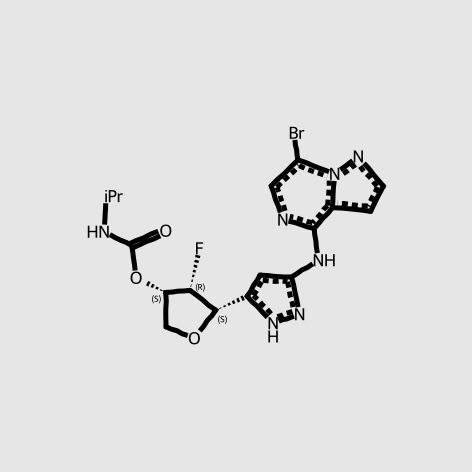 CC(C)NC(=O)O[C@H]1CO[C@@H](c2cc(Nc3ncc(Br)n4nccc34)n[nH]2)[C@H]1F